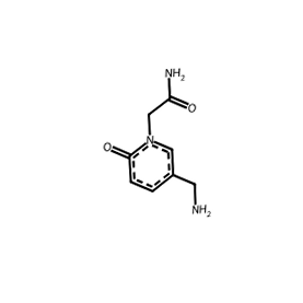 NCc1ccc(=O)n(CC(N)=O)c1